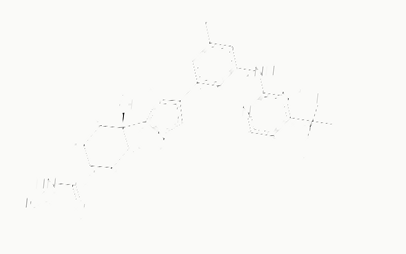 Cc1cc(Nc2nccc(C(F)(F)F)n2)cc(-c2cnc([C@]3(O)CC[C@H](C(=O)NO)CC3)s2)c1